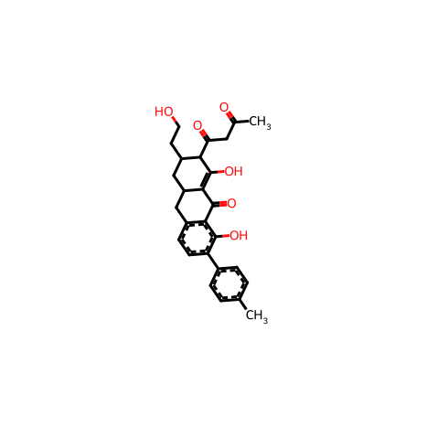 CC(=O)CC(=O)C1C(O)=C2C(=O)c3c(ccc(-c4ccc(C)cc4)c3O)CC2CC1CCO